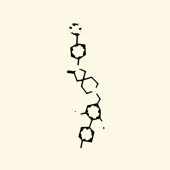 CCOc1cc(CN2CCC3(CC2)CC(=O)N(c2ccc(-c4nnn[nH]4)cc2)C3)cc(OCC)c1-c1ccc(C)cc1